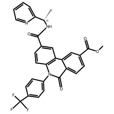 COC(=O)c1ccc2c(=O)n(-c3ccc(C(F)(F)F)cc3)c3ccc(C(=O)N[C@@H](C)c4ccccn4)cc3c2c1